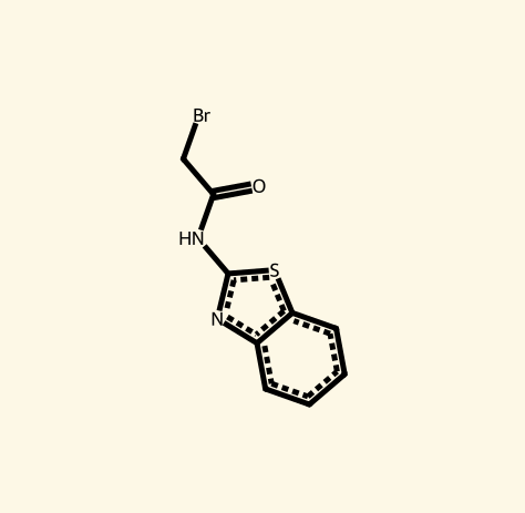 O=C(CBr)Nc1nc2ccccc2s1